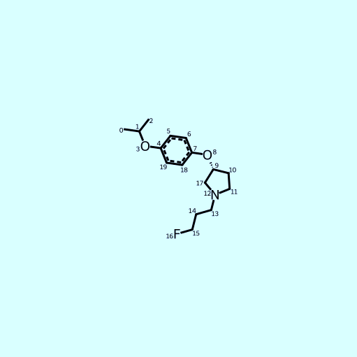 CC(C)Oc1ccc(O[C@@H]2CCN(CCCF)C2)cc1